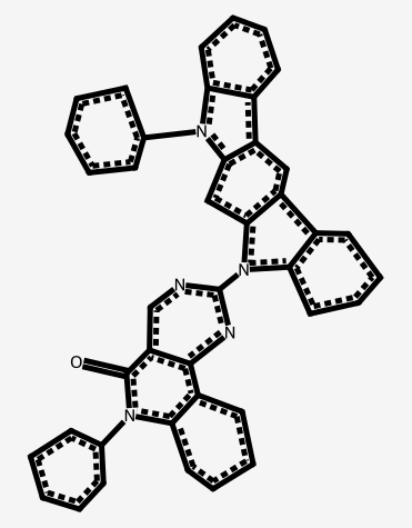 O=c1c2cnc(-n3c4ccccc4c4cc5c6ccccc6n(-c6ccccc6)c5cc43)nc2c2ccccc2n1-c1ccccc1